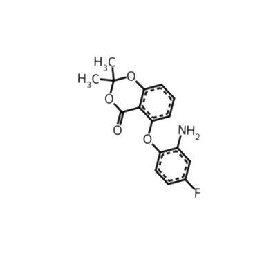 CC1(C)OC(=O)c2c(Oc3ccc(F)cc3N)cccc2O1